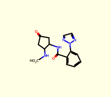 O=C1CC(NC(=O)O)C(NC(=O)c2ccccc2-n2nccn2)C1